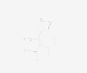 CC1CCc2c(cnn2C)C(N)=C1C(=O)O